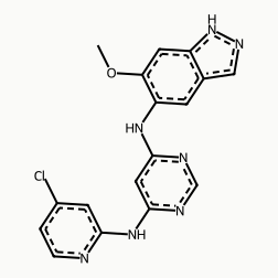 COc1cc2[nH]ncc2cc1Nc1cc(Nc2cc(Cl)ccn2)ncn1